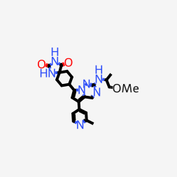 COCC(C)Nc1ncc2c(-c3ccnc(C)c3)cc(C3CCC4(CC3)NC(=O)NC4=O)n2n1